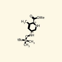 COC(=O)[C@H]1NC[C@H](NO[Si](C)(C)C(C)(C)C)C=C1C